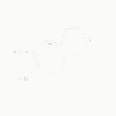 CC(C)(C)C1=C(N)CC=c2ccccc2=C1